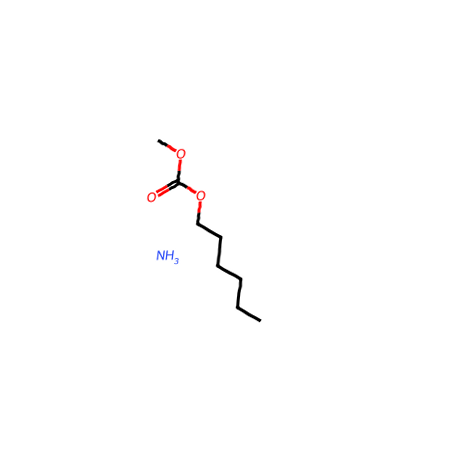 CCCCCCOC(=O)OC.N